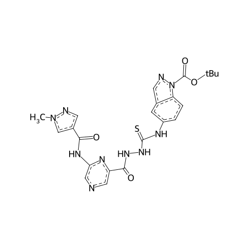 Cn1cc(C(=O)Nc2cncc(C(=O)NNC(=S)Nc3ccc4c(cnn4C(=O)OC(C)(C)C)c3)n2)cn1